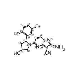 N#Cc1c(N)nn2ccc(N3C[C@@H](O)C[C@H]3c3cc(F)ccc3F)nc12